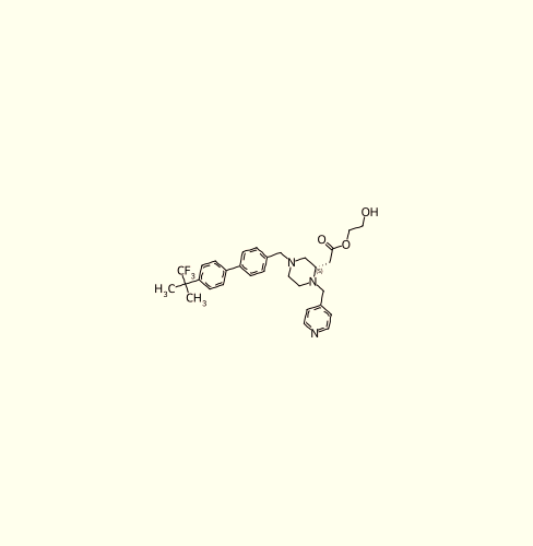 CC(C)(c1ccc(-c2ccc(CN3CCN(Cc4ccncc4)[C@@H](CC(=O)OCCO)C3)cc2)cc1)C(F)(F)F